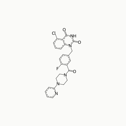 O=C(c1cc(Cn2c(=O)[nH]c(=O)c3c(Cl)cccc32)ccc1F)N1CCN(c2ccccn2)CC1